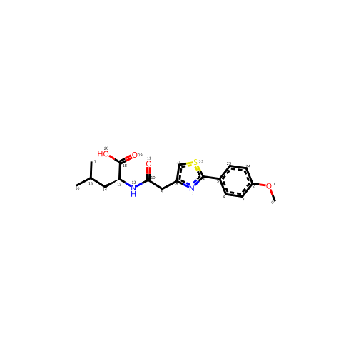 COc1ccc(-c2nc(CC(=O)N[C@@H](CC(C)C)C(=O)O)cs2)cc1